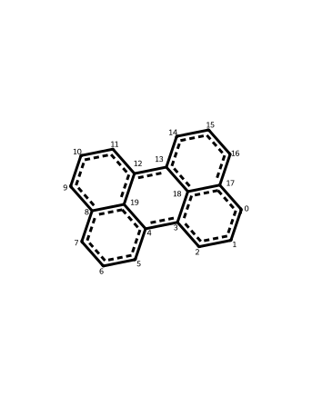 [c]1ccc2c3cccc4cccc(c5cccc1c25)c43